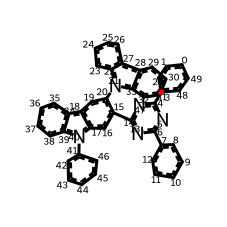 c1ccc(-c2nc(-c3ccccc3)nc(-c3cc4c(cc3-n3c5ccccc5c5ccccc53)c3ccccc3n4-c3ccccc3)n2)cc1